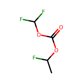 CC(F)OC(=O)OC(F)F